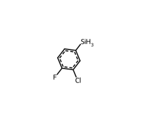 Fc1ccc([SiH3])cc1Cl